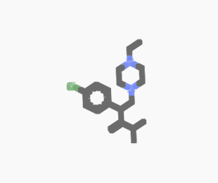 C=C(C(C)C)C(CN1CCN(CC)CC1)c1ccc(Cl)cc1